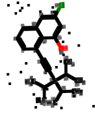 CC(C)[Si](C#Cc1cccc2cc(Cl)cc(O)c12)(C(C)C)C(C)C